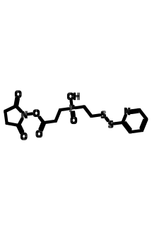 O=C(CCP(=O)(O)CCSSc1ccccn1)ON1C(=O)CCC1=O